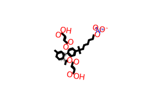 C=C(C)[C@@H]1CCC(C)=C[C@H]1c1c(OC(=O)C=CC(=O)O)cc(C(C)(C)CCCCCCO[N+](=O)[O-])cc1OC(=O)C=CC(=O)O